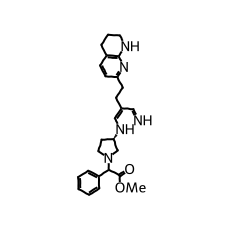 COC(=O)C(c1ccccc1)N1CC[C@@H](N/C=C(\C=N)CCc2ccc3c(n2)NCCC3)C1